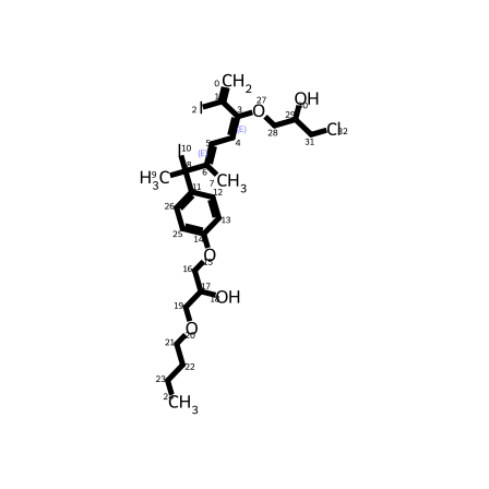 C=C(I)/C(=C\C=C(/C)C(C)(I)c1ccc(OCC(O)COCCCC)cc1)OCC(O)CCl